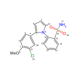 COc1ccc(-c2cccn2-c2ccccc2S(N)(=O)=O)cc1Cl